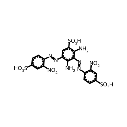 Nc1c(N=Nc2ccc(S(=O)(=O)O)cc2[N+](=O)[O-])cc(S(=O)(=O)O)c(N)c1N=Nc1ccc(S(=O)(=O)O)cc1[N+](=O)[O-]